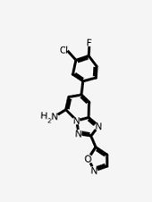 Nc1cc(-c2ccc(F)c(Cl)c2)cc2nc(-c3ccno3)nn12